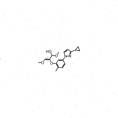 CO/C=C(\Oc1cc(-n2ccc(C3CC3)n2)ccc1C)C(O)OC